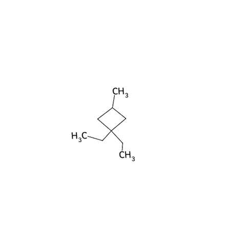 CCC1(CC)CC(C)C1